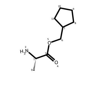 C[C@H](N)C(=O)OCC1CCCC1